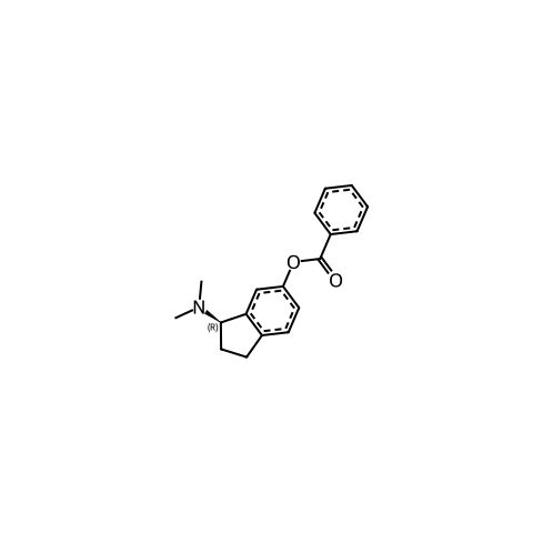 CN(C)[C@@H]1CCc2ccc(OC(=O)c3ccccc3)cc21